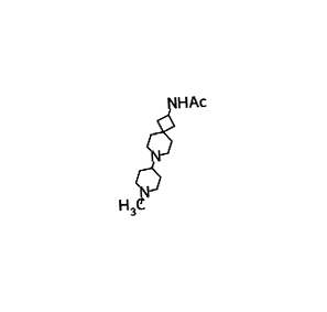 CC(=O)NC1CC2(CCN(C3CCN(C)CC3)CC2)C1